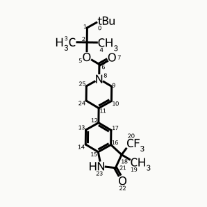 CC(C)(C)CC(C)(C)OC(=O)N1CC=C(c2ccc3c(c2)C(C)(C(F)(F)F)C(=O)N3)CC1